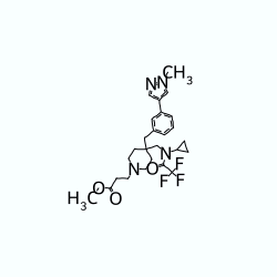 COC(=O)CCN1CCC(Cc2cccc(-c3cnn(C)c3)c2)(CN(C(=O)C(F)(F)F)C2CC2)CC1